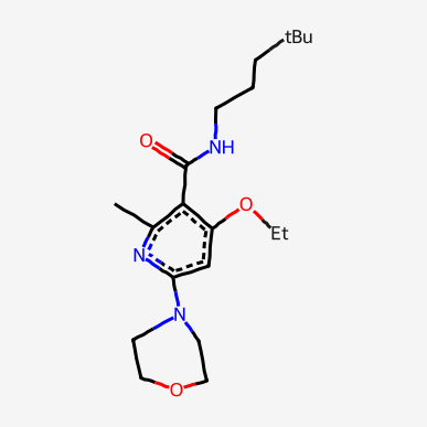 CCOc1cc(N2CCOCC2)nc(C)c1C(=O)NCCCC(C)(C)C